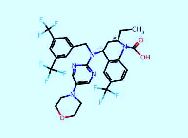 CC[C@@H]1C[C@H](N(Cc2cc(C(F)(F)F)cc(C(F)(F)F)c2)c2ncc(N3CCOCC3)cn2)c2cc(C(F)(F)F)ccc2N1C(=O)O